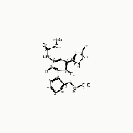 Cc1cc(-c2cc(NC(=O)OC(C)(C)C)c(C)cc2F)[nH]n1.O=COCc1ccccc1